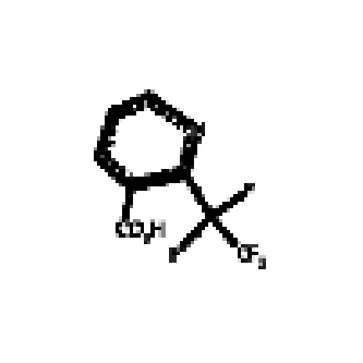 O=C(O)c1cccnc1C(F)(F)C(F)(F)F